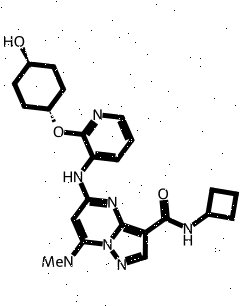 CNc1cc(Nc2cccnc2O[C@H]2CC[C@H](O)CC2)nc2c(C(=O)NC3CCC3)cnn12